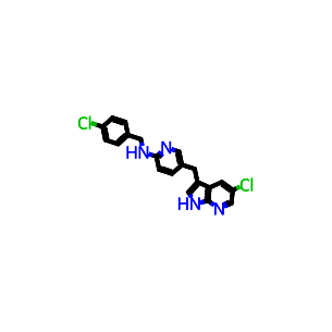 Clc1ccc(CNc2ccc(Cc3c[nH]c4ncc(Cl)cc34)cn2)cc1